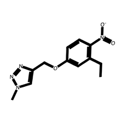 CCc1cc(OCc2cn(C)nn2)ccc1[N+](=O)[O-]